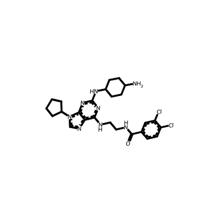 NC1CCC(Nc2nc(NCCNC(=O)c3ccc(Cl)c(Cl)c3)c3ncn(C4CCCC4)c3n2)CC1